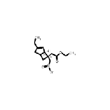 CCOC(=O)C[C@@]1(C[N+](=O)[O-])CC2CC(CC)=C[C@H]21